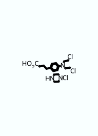 ClN1CCNCC1.O=C(O)CCCc1ccc(N(CCCl)CCCl)cc1